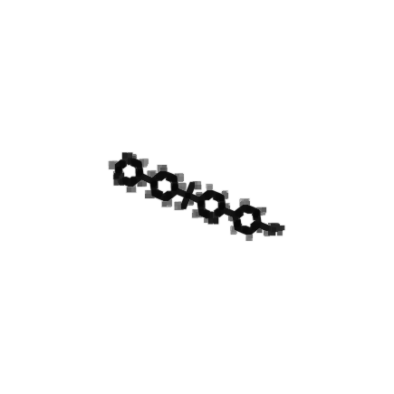 CC(C)c1ccc(-c2ccc(C(C)(C)c3ccc(-c4cncnc4)cc3)cn2)cc1